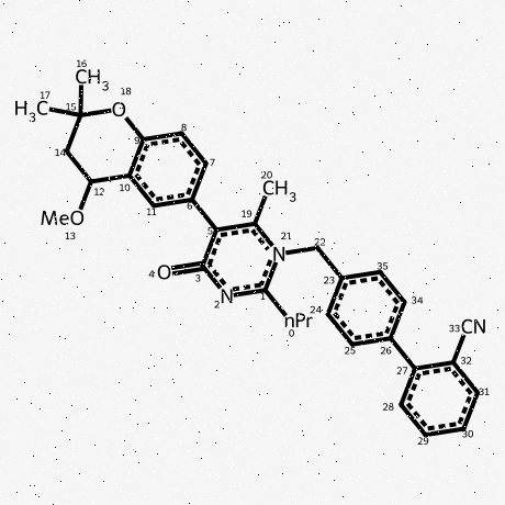 CCCc1nc(=O)c(-c2ccc3c(c2)C(OC)CC(C)(C)O3)c(C)n1Cc1ccc(-c2ccccc2C#N)cc1